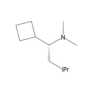 CC(C)C[C@H](C1CCC1)N(C)C